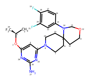 C[C@@H](Oc1cc(N2CCC3(CCOCN3c3ccc(F)c(F)c3)CC2)nc(N)n1)C(F)(F)F